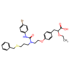 CCOC(Cc1ccc(OCCN(CCCSCc2ccccc2)C(=O)Nc2ccc(Br)cc2)cc1)C(=O)O